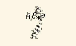 CC1(C)CN(CCCN2CCN(c3ccccc3)CC2)C(=O)c2ccccc21